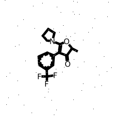 CC1OC(N2CCCC2)=C(c2cccc(C(F)(F)F)c2)C1=O